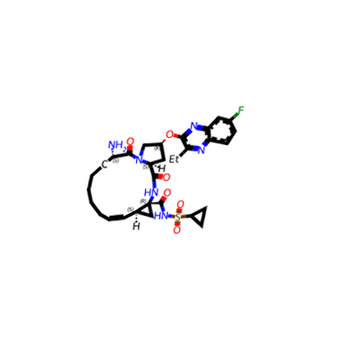 CCc1nc2ccc(F)cc2nc1O[C@@H]1C[C@H]2C(=O)N[C@]3(C(=O)NS(=O)(=O)C4CC4)C[C@H]3C=CCCCCC[C@H](N)C(=O)N2C1